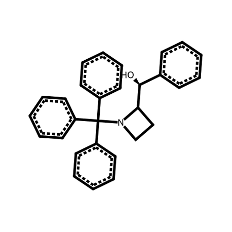 O[C@@H](c1ccccc1)C1CCN1C(c1ccccc1)(c1ccccc1)c1ccccc1